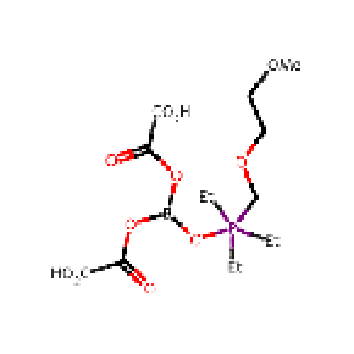 CCP(CC)(CC)(COCCOC)OB(OC(=O)C(=O)O)OC(=O)C(=O)O